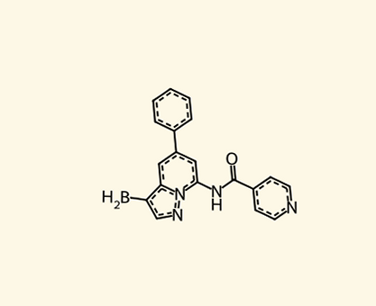 Bc1cnn2c(NC(=O)c3ccncc3)cc(-c3ccccc3)cc12